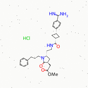 COC(=O)C[C@@H]1C[C@@H](CCNC(=O)[C@H]2C[C@@H](c3ccc(C(=N)N)cc3)C2)N(CCCc2ccccc2)C1=O.Cl